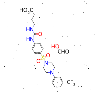 O=C(O)CCCNC(=O)Nc1ccc(S(=O)(=O)N2CCN(c3cccc(C(F)(F)F)c3)CC2)cc1.O=CO